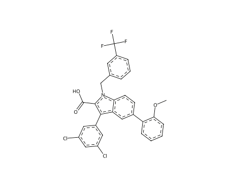 COc1ccccc1-c1ccc2c(c1)c(-c1cc(Cl)cc(Cl)c1)c(C(=O)O)n2Cc1cccc(C(F)(F)F)c1